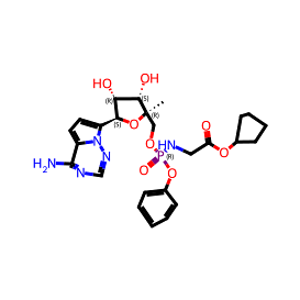 C[C@]1(CO[P@](=O)(NCC(=O)OC2CCCC2)Oc2ccccc2)O[C@@H](c2ccc3c(N)ncnn23)[C@H](O)[C@@H]1O